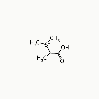 CC(C(=O)O)[S+](C)C